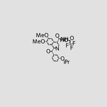 COc1cc2c(C(N)=O)cnc(C(=O)c3cccc(OC(C)C)c3)c2cc1OC.O=C(O)C(F)(F)F